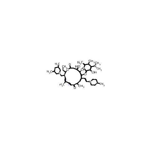 CCC1OC(=O)CC(O)C(C)C(OC2OC(C)C(C)C(N(C)C)C2O)C(CCN2CCC(C)CC2)CC(C)C(=O)/C=C/C(C)=C/C1CN1CC(C)CC(C)C1